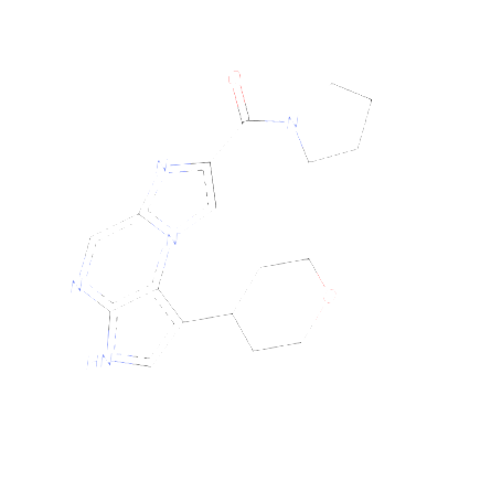 O=C(c1cn2c(cnc3[nH]cc(C4CCOCC4)c32)n1)N1CCCC1